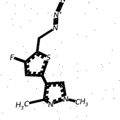 Cc1nn(C)cc1-c1cc(F)c(CN=[N+]=[N-])s1